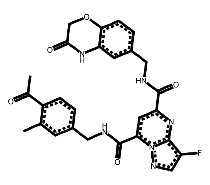 CC(=O)c1ccc(CNC(=O)c2cc(C(=O)NCc3ccc4c(c3)NC(=O)CO4)nc3c(F)cnn23)cc1C